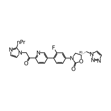 CCCc1nccn1CC(=O)c1ccc(-c2ccc(N3C[C@H](Cn4ccnn4)OC3=O)cc2F)cn1